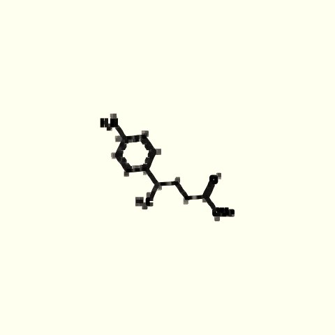 COC(=O)CCC(C)c1ccc(N)cc1